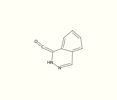 O=C=C1NN=Cc2ccccc21